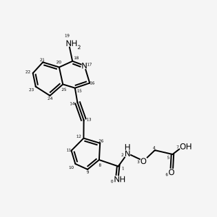 N=C(NOCC(=O)O)c1cccc(C#Cc2cnc(N)c3ccccc23)c1